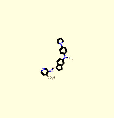 CN(c1ccc(N2CCCC2)cc1)c1ccc2c(c1)CC[C@H]2CNc1cnccc1C(=O)O